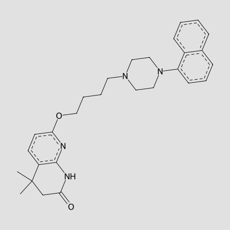 CC1(C)CC(=O)Nc2nc(OCCCCN3CCN(c4cccc5ccccc45)CC3)ccc21